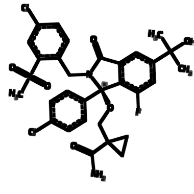 CC(C)(O)c1cc(F)c2c(c1)C(=O)N(Cc1ccc(Cl)cc1S(C)(=O)=O)[C@@]2(OCC1(C(N)=O)CC1)c1ccc(Cl)cc1